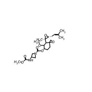 COC(=O)NC1CN(C(=O)OC2CCC3(CO3)C([C@@]3(C)O[C@@H]3CC=C(C)C)C2OC)C1